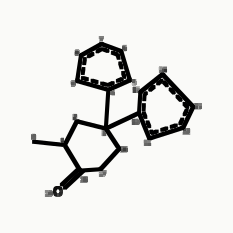 CC1CC(c2ccccc2)(c2ccccc2)CCC1=O